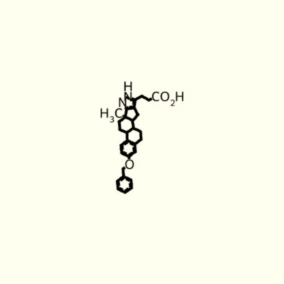 C[C@]12CCC3c4ccc(OCc5ccccc5)cc4CCC3C1Cc1c2n[nH]c1CCC(=O)O